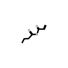 C=CC(=O)OC(=O)CCC